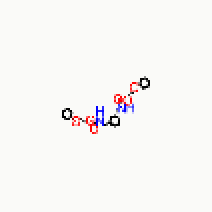 O=C(NCc1cccc(CNC(=O)OCCOc2ccccc2)c1)OCCOc1ccccc1